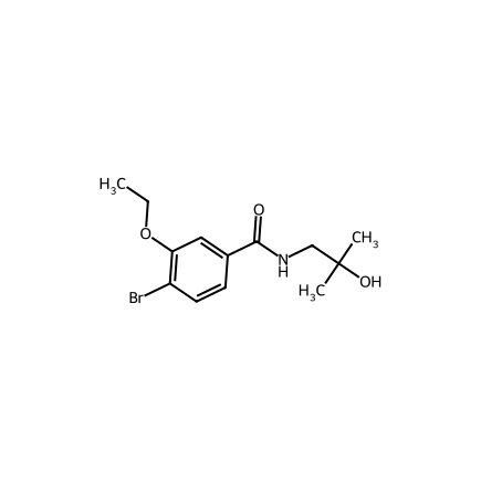 CCOc1cc(C(=O)NCC(C)(C)O)ccc1Br